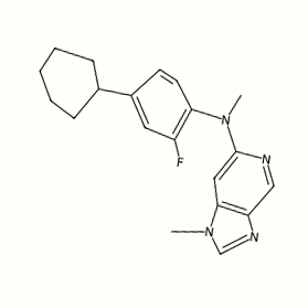 CN(c1cc2c(cn1)ncn2C)c1ccc(C2CCCCC2)cc1F